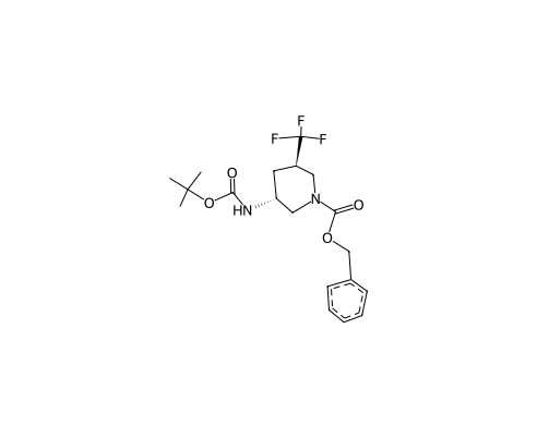 CC(C)(C)OC(=O)N[C@@H]1C[C@@H](C(F)(F)F)CN(C(=O)OCc2ccccc2)C1